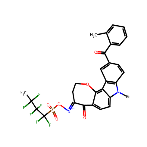 CCn1c2ccc(C(=O)c3ccccc3C)cc2c2c3c(ccc21)C(=O)/C(=N/OS(=O)(=O)C(F)(F)C(F)(F)C(F)(F)C(F)(F)F)CCO3